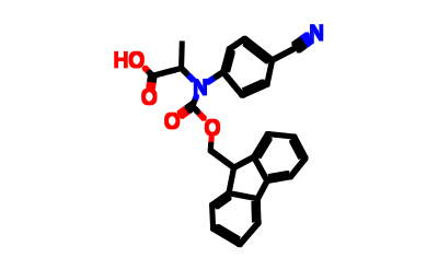 CC(C(=O)O)N(C(=O)OCC1c2ccccc2-c2ccccc21)c1ccc(C#N)cc1